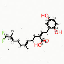 C/C(=C\CCC(=CCc1cc(O)ccc1O)C(=O)O)CC/C=C(\C)C(F)F